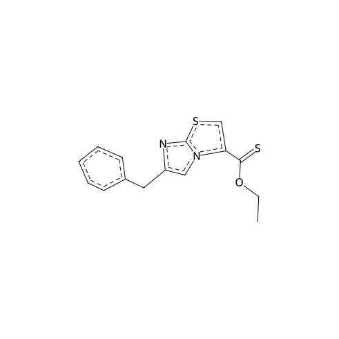 CCOC(=S)c1csc2nc(Cc3ccccc3)cn12